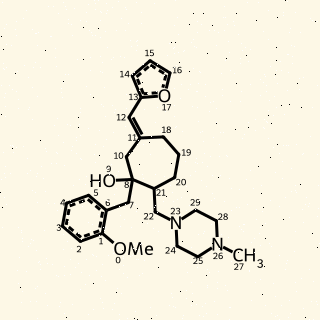 COc1ccccc1CC1(O)CC(=Cc2ccco2)CCCC1CN1CCN(C)CC1